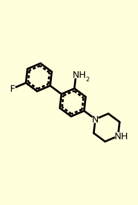 Nc1cc(N2CCNCC2)ccc1-c1cccc(F)c1